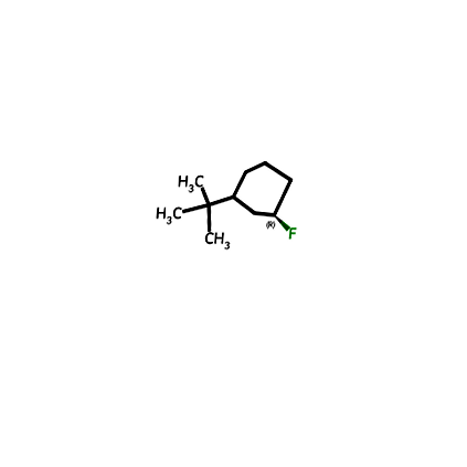 CC(C)(C)C1CCC[C@@H](F)C1